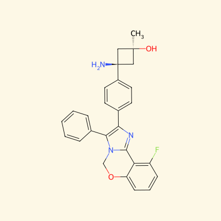 C[C@]1(O)C[C@](N)(c2ccc(-c3nc4n(c3-c3ccccc3)COc3cccc(F)c3-4)cc2)C1